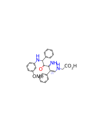 COc1cccc(NC(C(=O)C(=N)/C(=C\NCC(=O)O)c2ccccc2)c2ccccc2)c1